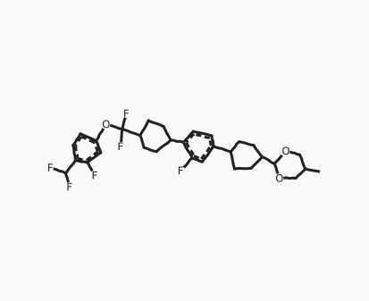 CC1COC(C2CCC(c3ccc(C4CCC(C(F)(F)Oc5ccc(C(F)F)c(F)c5)CC4)c(F)c3)CC2)OC1